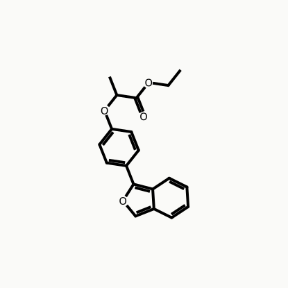 CCOC(=O)C(C)Oc1ccc(-c2occ3ccccc23)cc1